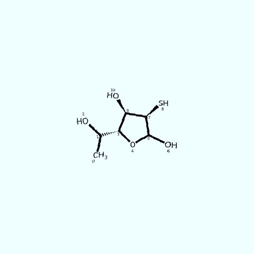 CC(O)[C@H]1OC(O)[C@H](S)[C@@H]1O